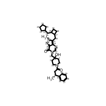 C[C@H](CC(=O)N1CCC(O)(Cn2cnc3c(CC4CCC4CC4CCCC4)n(C)nc3c2=O)CC1)c1ccccc1